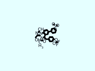 Cc1nc(-c2cc(-c3cccc([SH](=O)=O)c3)ccc2-n2cc(CO)nc2C)c(-c2ccc3c(c2)OC(F)(F)O3)o1